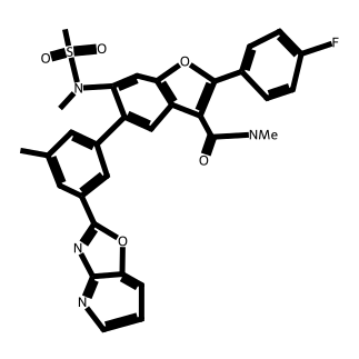 CNC(=O)c1c(-c2ccc(F)cc2)oc2cc(N(C)S(C)(=O)=O)c(-c3cc(C)cc(-c4nc5ncccc5o4)c3)cc12